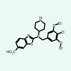 CCOc1cc(CN(c2nc3ccc(C(=O)O)cc3s2)C2CCNCC2)cc(OCC)c1Cl